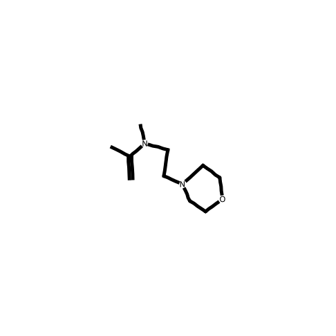 C=C(C)N(C)CCN1CCOCC1